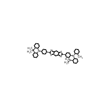 Cc1ccccc1N(c1ccc(-c2nc3cc4sc(-c5ccc(N6c7ccccc7C(C)(C)c7ccccc76)cc5)nc4cc3s2)cc1)c1ccccc1N(C)C